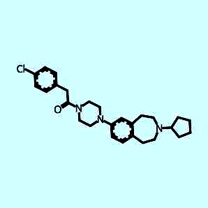 O=C(Cc1ccc(Cl)cc1)N1CCN(c2ccc3c(c2)CCN(C2CCCC2)CC3)CC1